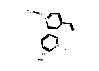 Br.Br.C=Cc1ccncc1.CCCCCCCCN.c1ccncc1